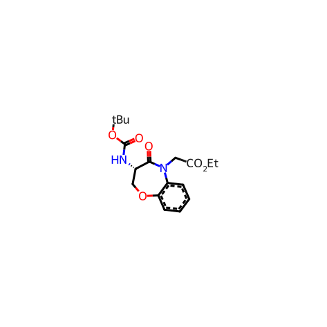 CCOC(=O)CN1C(=O)[C@@H](NC(=O)OC(C)(C)C)COc2ccccc21